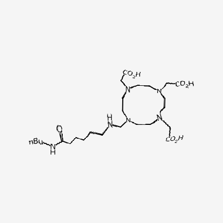 CCCCNC(=O)CCCCCNCN1CCN(CC(=O)O)CCN(CC(=O)O)CCN(CC(=O)O)CC1